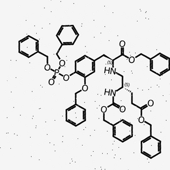 O=C(CC[C@@H](CN[C@@H](Cc1ccc(OP(=O)(OCc2ccccc2)OCc2ccccc2)c(OCc2ccccc2)c1)C(=O)OCc1ccccc1)NC(=O)OCc1ccccc1)OCc1ccccc1